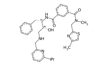 Cc1csc(CN(C)C(=O)c2cccc(C(=O)N[C@@H](Cc3ccccc3)[C@H](O)CNCc3cccc(C(C)C)n3)c2)n1